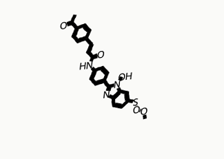 COOSc1ccc2nc(-c3ccc(NC(=O)/C=C/c4ccc(C(C)=O)cc4)cc3)n(O)c2c1